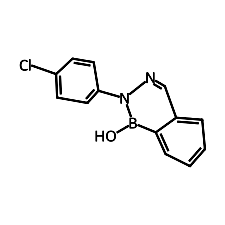 OB1c2ccccc2C=NN1c1ccc(Cl)cc1